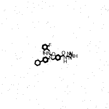 O=C(Nc1nn[nH]n1)c1ccc(CN(C(=O)NCc2c(F)cccc2F)c2ccc(C3CCCCC3)cc2)cc1